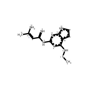 CSNc1nc(NC(=N)/C=C(/C)N)nc2[nH]ccc12